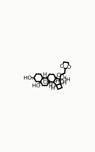 C[C@]12CC[C@H]3[C@@H](CC[C@]4(O)C[C@@H](O)CC[C@]34C)[C@@H]1[C@@H]1CC[C@@H]1[C@@]2(O)CCC1OCCO1